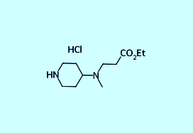 CCOC(=O)CCN(C)C1CCNCC1.Cl